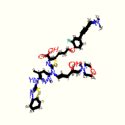 Cc1cc(N(CCCC(O)C[N+]2(C)CCOCC2)c2nc(C(=O)O)c(CCCOc3ccc(C#CCN(C)C)cc3F)s2)nnc1Nc1nc2ccccc2s1